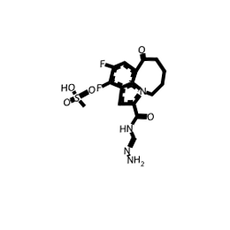 CS(=O)(=O)O.NN=CNC(=O)c1cc2c(F)c(F)cc3c2n1CCCCC3=O